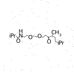 CC(C)CCC(C)C(=O)CCOCCOCCNC(=O)C(C)C